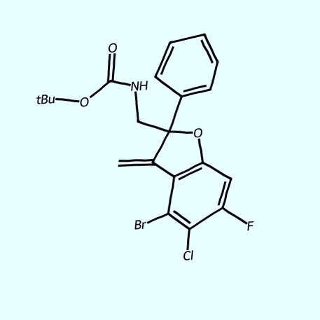 C=C1c2c(cc(F)c(Cl)c2Br)OC1(CNC(=O)OC(C)(C)C)c1ccccc1